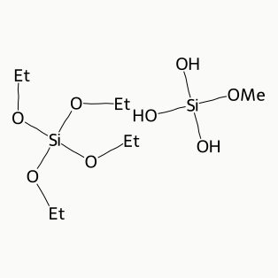 CCO[Si](OCC)(OCC)OCC.CO[Si](O)(O)O